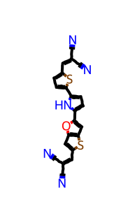 N#CC(C#N)=Cc1ccc(-c2ccc(-c3cc4sc(C=C(C#N)C#N)cc4o3)[nH]2)s1